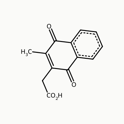 CC1=C(CC(=O)O)C(=O)c2ccccc2C1=O